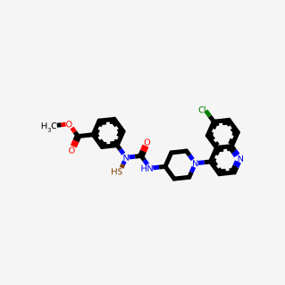 COC(=O)c1cccc(N(S)C(=O)NC2CCN(c3ccnc4ccc(Cl)cc34)CC2)c1